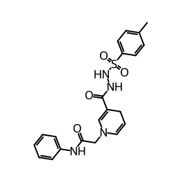 Cc1ccc(S(=O)(=O)NNC(=O)C2=CN(CC(=O)Nc3ccccc3)C=CC2)cc1